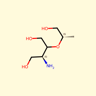 C[C@@H](CO)OC(CO)[C@@H](N)CO